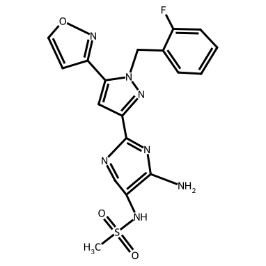 CS(=O)(=O)Nc1cnc(-c2cc(-c3ccon3)n(Cc3ccccc3F)n2)nc1N